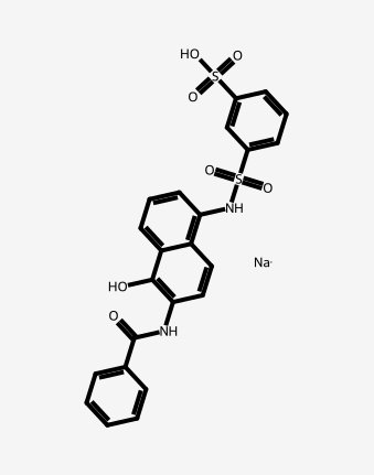 O=C(Nc1ccc2c(NS(=O)(=O)c3cccc(S(=O)(=O)O)c3)cccc2c1O)c1ccccc1.[Na]